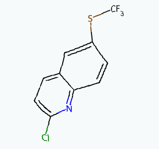 FC(F)(F)Sc1ccc2nc(Cl)ccc2c1